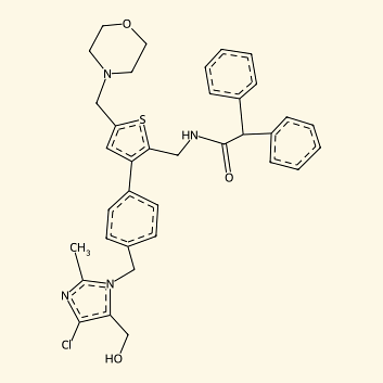 Cc1nc(Cl)c(CO)n1Cc1ccc(-c2cc(CN3CCOCC3)sc2CNC(=O)C(c2ccccc2)c2ccccc2)cc1